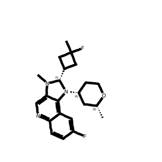 C[C@@H]1C[C@H](N2c3c(cnc4ccc(F)cc34)N(C)[C@@H]2C2CC(C)(F)C2)CCO1